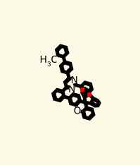 CC1C=CC=CC1c1ccc(-c2cc(-c3ccccc3-c3ccc4c(c3)Oc3ccccc3C43c4ccccc4-c4ccccc43)nc(-c3ccccc3)n2)cc1